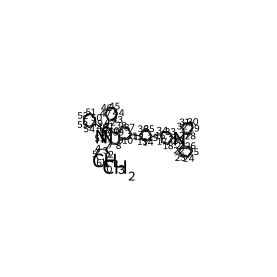 C=C/C=C(\C=C/C)c1cc2cc(-c3ccc(-c4ccc(N(c5ccccc5)c5ccccc5)cc4)cc3)ccc2c2c(-c3ccccc3)c(-c3ccccc3)nn12